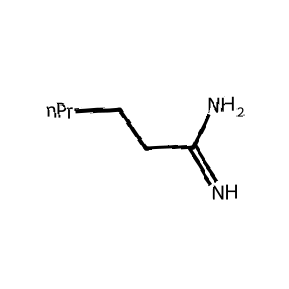 [CH2]CCCCC(=N)N